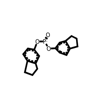 O=[P](Oc1ccc2c(c1)CCC2)Oc1ccc2c(c1)CCC2